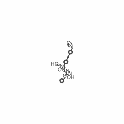 O=C1N(Cc2ncnc(O)c2OCc2ccccc2)CC(c2ccc(C#Cc3ccc(CN4CCOCC4)cc3)cc2)N1CCO